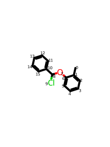 Cc1ccccc1OC(Cl)c1ccccc1